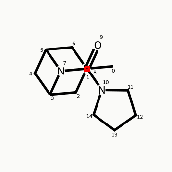 CN1CC2CC(C1)N2C(=O)N1CCCC1